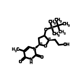 Cc1cn([C@H]2CC(O[Si](C)(C)C(C)(C)C)[C@@H](CCO)O2)c(=O)[nH]c1=O